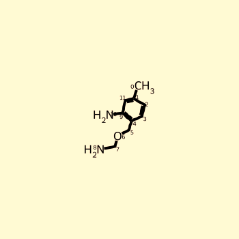 Cc1ccc(COCN)c(N)c1